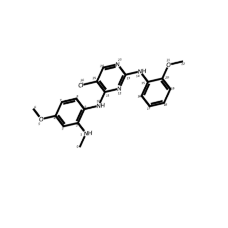 CNc1cc(OC)ccc1Nc1nc(Nc2ccccc2OC)ncc1Cl